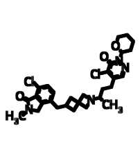 CC(CCc1cnn(C2CCCCO2)c(=O)c1Cl)N1CC2(CC(Cc3ccc(Cl)c4c3CN(C)C4=O)C2)C1